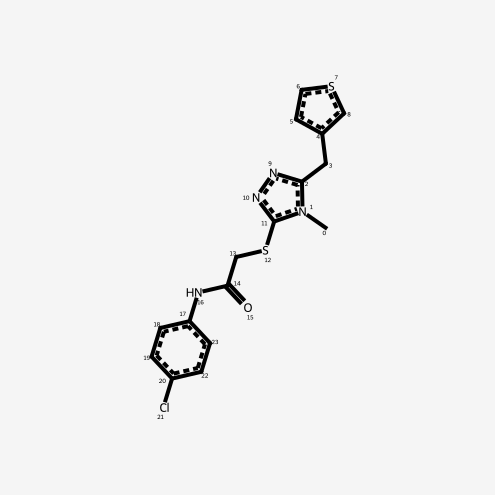 Cn1c(Cc2ccsc2)nnc1SCC(=O)Nc1ccc(Cl)cc1